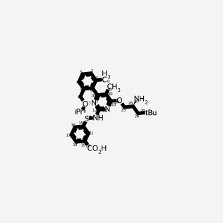 Cc1cccc(COC(C)C)c1-c1nc(NSc2cccc(C(=O)O)c2)nc(OC[C@H](N)CC(C)(C)C)c1C